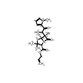 C=CCOC(=O)[C@@H]1N2C(=O)[C@@](Br)(C(O)C(=O)c3cccn3C)[C@H]2SC1(C)C